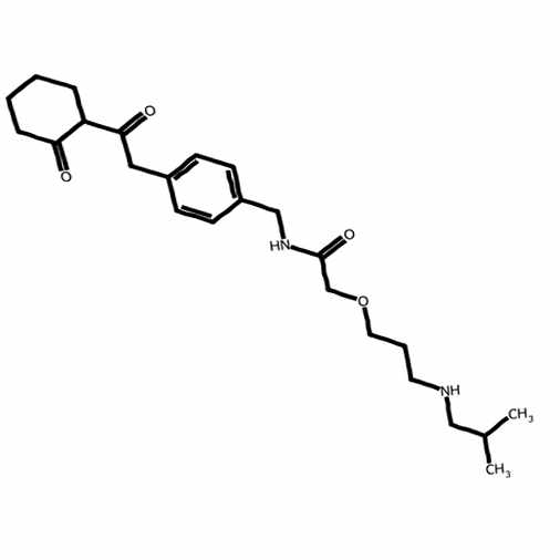 CC(C)CNCCCOCC(=O)NCc1ccc(CC(=O)C2CCCCC2=O)cc1